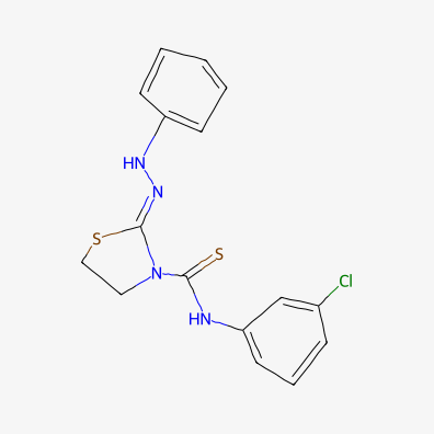 S=C(Nc1cccc(Cl)c1)N1CCSC1=NNc1ccccc1